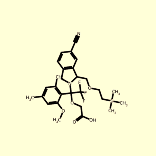 COc1cc(C)cc(C)c1C(OCC(=O)O)(N1Cc2ccc(C#N)cc2C1COCC[Si](C)(C)C)C(F)(F)F